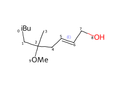 CCC(C)CC(C)(C/C=C/CO)OC